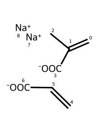 C=C(C)C(=O)[O-].C=CC(=O)[O-].[Na+].[Na+]